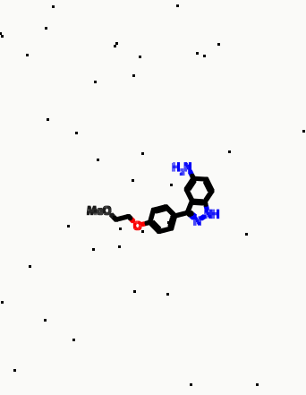 COCCOc1ccc(-c2n[nH]c3ccc(N)cc23)cc1